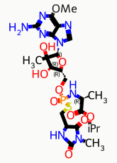 COc1nc(N)nc2c1ncn2[C@@H]1O[C@H](COP(=O)(N[C@H](C)C(=O)OC(C)C)SCC2NC(=O)N(C)C2=O)[C@@H](O)C1(C)O